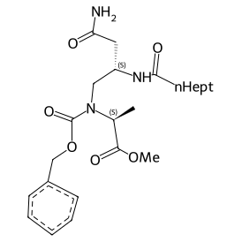 CCCCCCCC(=O)N[C@@H](CC(N)=O)CN(C(=O)OCc1ccccc1)[C@@H](C)C(=O)OC